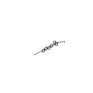 CCCCCCCCCCOCCOCCOCCOCCCC(=O)OCCCCCCCC(C)C